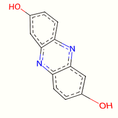 Oc1ccc2nc3cc(O)ccc3nc2c1